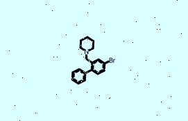 Brc1ccc(-c2ccccc2)c(CN2CCCCC2)c1